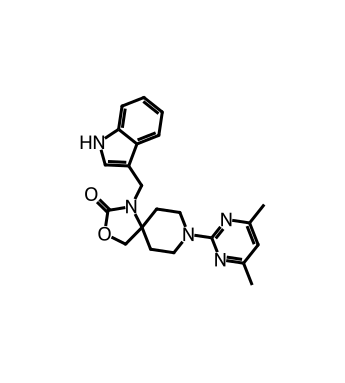 Cc1cc(C)nc(N2CCC3(CC2)COC(=O)N3Cc2c[nH]c3ccccc23)n1